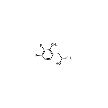 Cc1c(C[C@@H](C)O)ccc(F)c1F